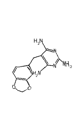 Nc1nc(N)c(Cc2ccc3c(c2)OCO3)c(N)n1